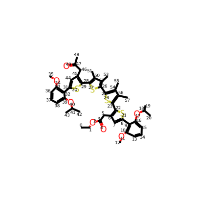 CCOC(=O)Cc1cc(-c2c(OC)cccc2OC(C)C)sc1-c1sc(-c2sc(-c3sc(-c4c(OC)cccc4OC(C)C)cc3CC(C)=O)c(C)c2C)c(C)c1C